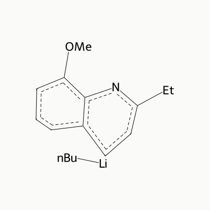 CCc1ccc2cccc(OC)c2n1.[Li][CH2]CCC